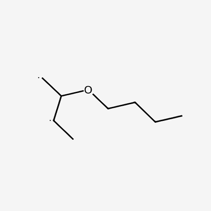 [CH2]C([CH]C)OCCCC